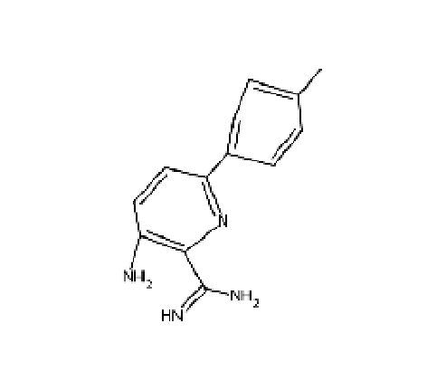 Cc1ccc(-c2ccc(N)c(C(=N)N)n2)cc1